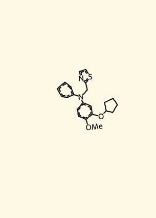 COc1ccc(N(Cc2nccs2)c2ccccc2)cc1OC1CCCC1